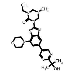 CCN1CN(C)CN(c2nc3cc(-c4cnc(C(C)(C)O)nc4)cc(N4CCOCC4)c3s2)C1=O